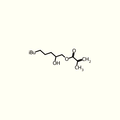 C=C(C)C(=O)OCC(O)CCCC(C)CC